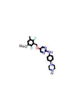 COc1cc(C)c(F)c(COc2cnc(Nc3ccc(N4CCNCC4)cc3)nc2)c1F